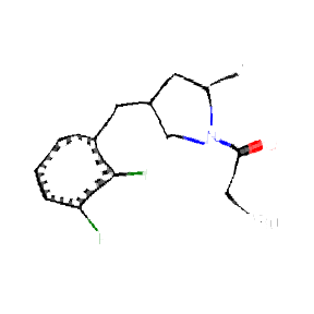 CC(=O)[C@@H]1CC(Cc2cccc(F)c2F)CN1C(=O)CC(C)(C)C